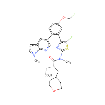 CN(C(=O)[C@@H](CC(=O)O)CC1CCOCC1)c1nc(-c2cc(OCF)ccc2-c2cnc3c(ccn3C)c2)c(F)s1